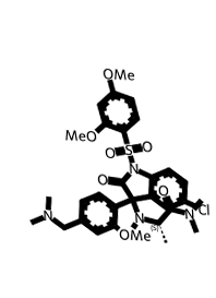 COc1ccc(S(=O)(=O)N2C(=O)C(c3ccc(CN(C)C)cc3OC)(N(C)[C@@H](C)C(=O)N(C)C)c3cc(Cl)ccc32)c(OC)c1